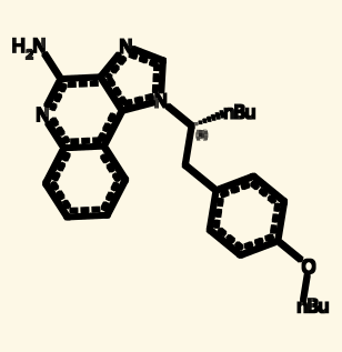 CCCCOc1ccc(C[C@@H](CCCC)n2cnc3c(N)nc4ccccc4c32)cc1